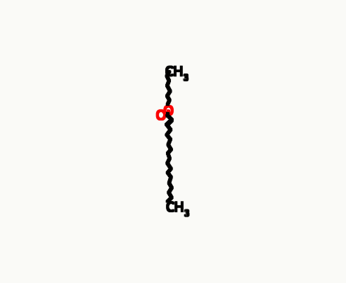 CCCCCCCCCCCCCCCCCC=CC(=O)OCCCCCCCC